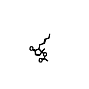 CC/C=C/CC1C(=O)C=CC1(C)OC(C)=O